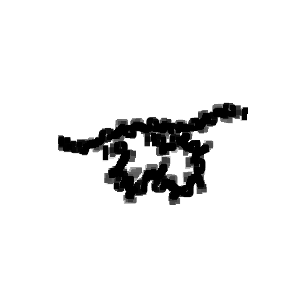 CC(O)COC(C)COC(C)COC(C)COC(C)COC(C)COC(C)COC(C)CO.COCCOCCOCCOCCOCCOCCOCCO